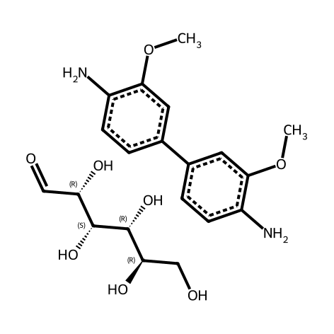 COc1cc(-c2ccc(N)c(OC)c2)ccc1N.O=C[C@H](O)[C@@H](O)[C@H](O)[C@H](O)CO